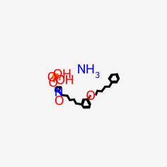 N.O=C(CCCCc1cccc(OCCCCCc2ccccc2)c1)N1CC(OP(=O)(O)O)C1